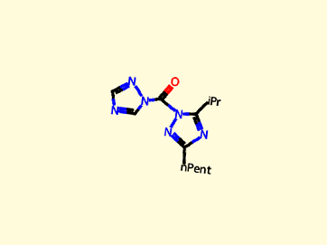 CCCCCc1nc(C(C)C)n(C(=O)n2cncn2)n1